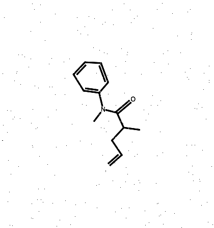 C=CCC(C)C(=O)N(C)c1ccccc1